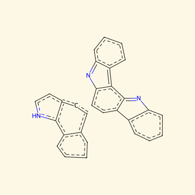 c1ccc2c(c1)N=c1c-2ccc2c1=c1ccccc1=N2.c1ccc2c(c1)ccc1cc[nH]c12